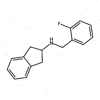 Fc1ccccc1CNC1Cc2ccccc2C1